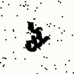 Cc1cnc2ccc(Oc3ccc(NC(=O)Nc4ccc(F)c(C(F)(F)F)c4)cc3)cc2n1.Cc1cnc2ccc(Oc3ccc(NC(=O)Nc4cccc(C(F)(F)F)c4)cc3)cc2n1.NCc1cnc2ccc(Oc3ccc(NC(=O)Nc4ccc(Cl)c(C(F)(F)F)c4)cc3)cc2n1.NCc1cnc2ccc(Oc3ccc(NC(=O)Nc4ccc(Cl)c(F)c4)cc3)cc2n1